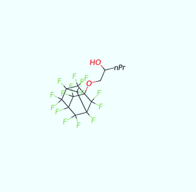 CCCC(O)COC12C(F)(F)C3(F)C(F)(F)C(F)(C(F)(F)C(F)(C3(F)F)C1(F)F)C2(F)F